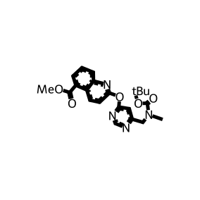 COC(=O)c1cccc2nc(Oc3cc(CN(C)C(=O)OC(C)(C)C)ncn3)ccc12